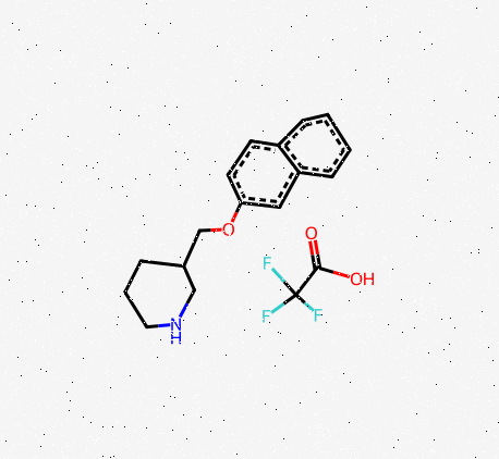 O=C(O)C(F)(F)F.c1ccc2cc(OCC3CCCNC3)ccc2c1